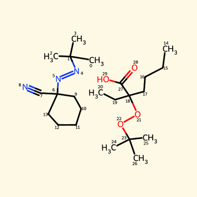 CC(C)(C)N=NC1(C#N)CCCCC1.CCCCC(CC)(OOC(C)(C)C)C(=O)O